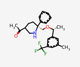 CC(=O)C1CC[C@@](CO[C@H](C)c2cc(C)cc(C(F)(F)F)c2)(c2ccccc2)NC1